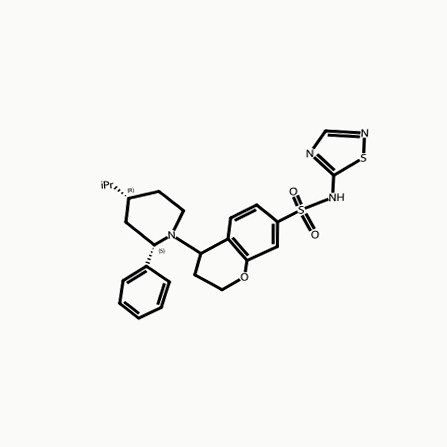 CC(C)[C@@H]1CCN(C2CCOc3cc(S(=O)(=O)Nc4ncns4)ccc32)[C@H](c2ccccc2)C1